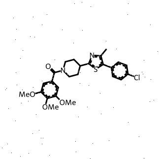 COc1cc(C(=O)N2CCC(c3nc(C)c(-c4ccc(Cl)cc4)s3)CC2)cc(OC)c1OC